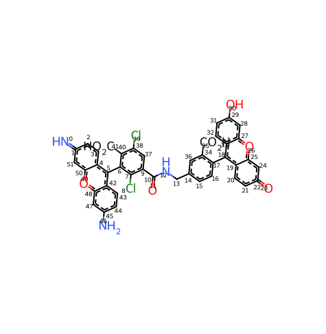 N=c1ccc2c(-c3c(Cl)c(C(=O)NCc4ccc(-c5c6ccc(=O)cc-6oc6cc(O)ccc56)c(C(=O)O)c4)cc(Cl)c3C(=O)O)c3ccc(N)cc3oc-2c1